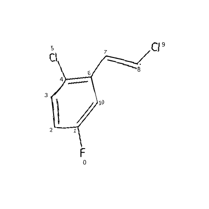 Fc1ccc(Cl)c(C=[C]Cl)c1